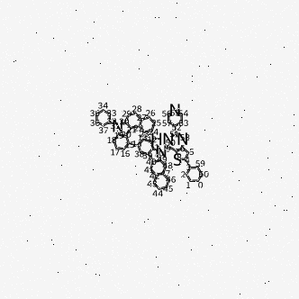 c1ccc(-c2cc3c(s2)=C(n2c4ccc(-c5cccc6c5c5c7ccccc7ccc5n6-c5ccccc5)cc4c4cc5ccccc5cc42)NC(c2ccncc2)N=3)cc1